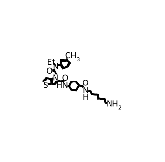 CCN(C(=O)Cn1c(C(=O)NC2CCC(C(=O)NCCCCCCN)CC2)cc2sccc21)c1cccc(C)c1